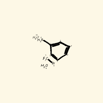 Bc1ccccc1.FC(F)(F)Br.O.O